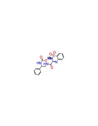 CC(C)(C)OC(=O)NC(CNC(=O)C1=Nc2ccccc2S(=O)(=O)N1)c1ccccc1